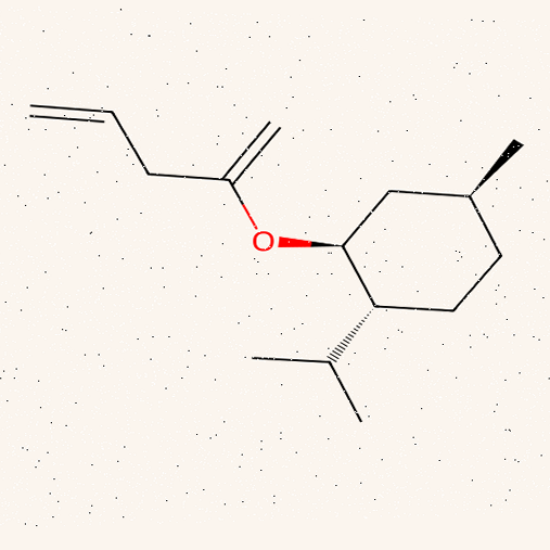 C=CCC(=C)O[C@H]1C[C@@H](C)CC[C@@H]1C(C)C